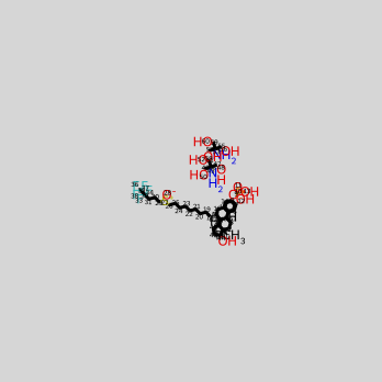 C[C@]12CC[C@@H]3c4ccc(OP(=O)(O)O)cc4C[C@@H](CCCCCCCCC[S+]([O-])CCCC(F)(F)C(F)(F)F)[C@H]3[C@@H]1CC[C@@H]2O.NC(CO)(CO)CO.NC(CO)(CO)CO